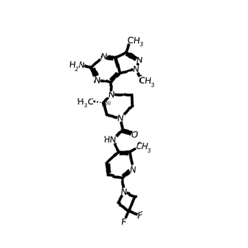 Cc1nc(N2CC(F)(F)C2)ccc1NC(=O)N1CCN(c2nc(N)nc3c(C)nn(C)c23)[C@@H](C)C1